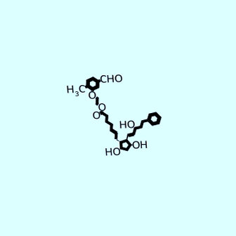 Cc1ccc(C=O)cc1OCCOC(=O)CCCC=CC[C@@H]1[C@@H](C=C[C@@H](O)CCc2ccccc2)[C@H](O)C[C@@H]1O